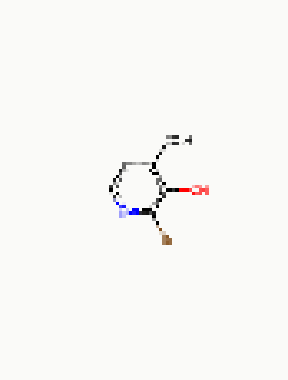 Cc1cc(C(=O)O)c(O)c(Br)n1